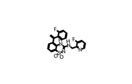 C=C(c1ccccc1F)c1cccc2c1NC(NCc1ncccc1F)=NS2(=O)=O